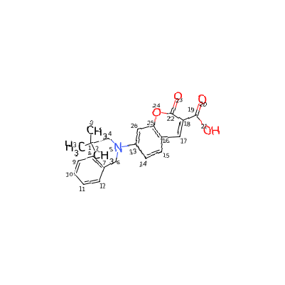 CC(C)(C)CN(Cc1ccccc1)c1ccc2cc(C(=O)O)c(=O)oc2c1